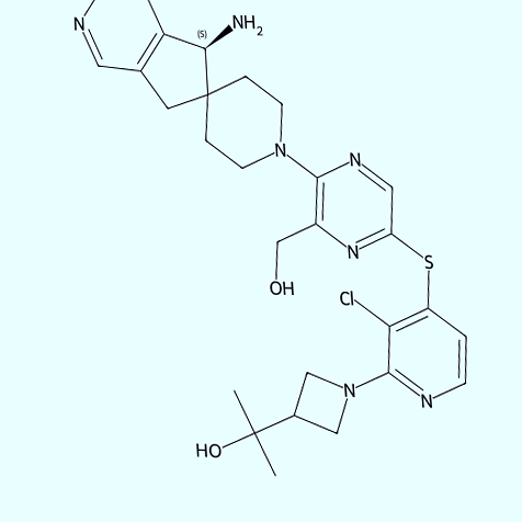 CC(C)(O)C1CN(c2nccc(Sc3cnc(N4CCC5(CC4)Cc4cnccc4[C@H]5N)c(CO)n3)c2Cl)C1